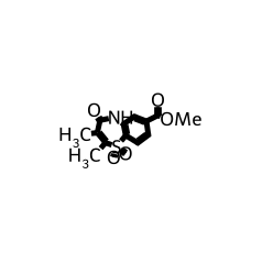 COC(=O)c1ccc2c(c1)NC(=O)C(C)=C(C)S2(=O)=O